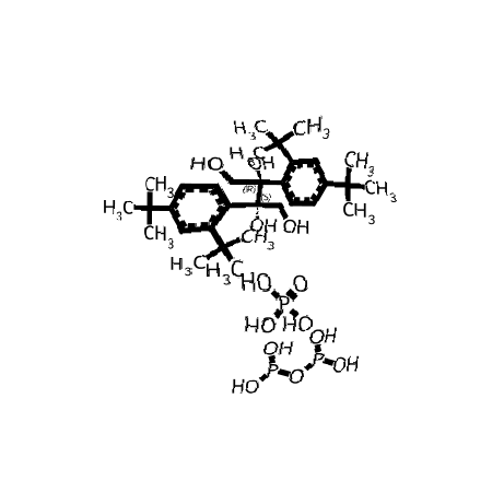 CC(C)(C)c1ccc([C@](O)(CO)[C@](O)(CO)c2ccc(C(C)(C)C)cc2C(C)(C)C)c(C(C)(C)C)c1.O=P(O)(O)O.OP(O)OP(O)O